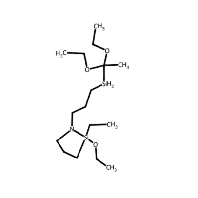 CCOC(C)(OCC)[SiH2]CCCN1CCC[Si]1(CC)OCC